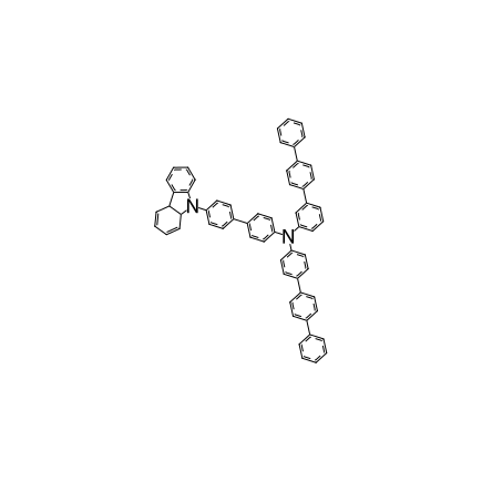 C1=CC2c3ccccc3N(c3ccc(-c4ccc(N(c5ccc(-c6ccc(-c7ccccc7)cc6)cc5)c5cccc(-c6ccc(-c7ccccc7)cc6)c5)cc4)cc3)C2C=C1